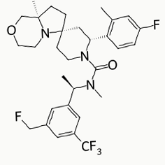 Cc1cc(F)ccc1[C@H]1C[C@@]2(CCN1C(=O)N(C)[C@H](C)c1cc(CF)cc(C(F)(F)F)c1)CC[C@]1(C)COCCN12